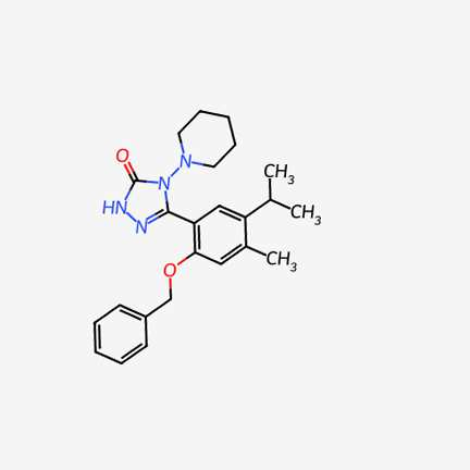 Cc1cc(OCc2ccccc2)c(-c2n[nH]c(=O)n2N2CCCCC2)cc1C(C)C